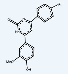 COc1cc(-c2cc(-c3ccc(C(C)C)cc3)nc(=O)[nH]2)ccc1O